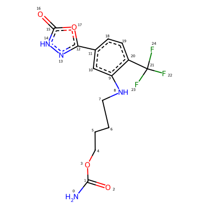 NC(=O)OCCCCNc1cc(-c2n[nH]c(=O)o2)ccc1C(F)(F)F